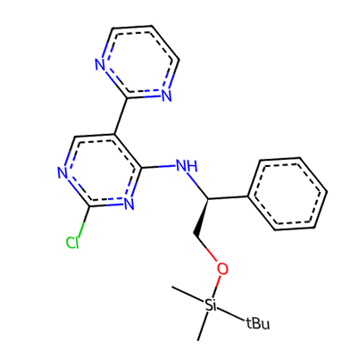 CC(C)(C)[Si](C)(C)OC[C@@H](Nc1nc(Cl)ncc1-c1ncccn1)c1ccccc1